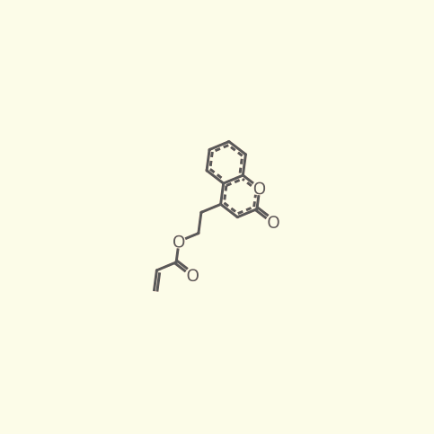 C=CC(=O)OCCc1cc(=O)oc2ccccc12